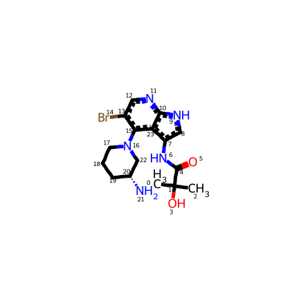 CC(C)(O)C(=O)Nc1c[nH]c2ncc(Br)c(N3CCC[C@@H](N)C3)c12